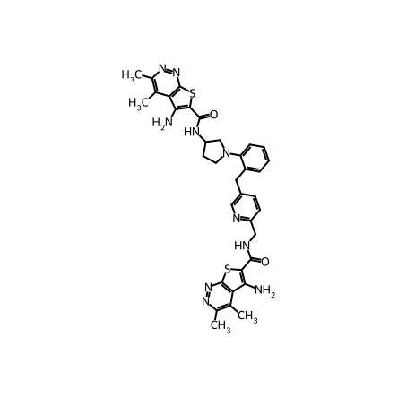 Cc1nnc2sc(C(=O)NCc3ccc(Cc4ccccc4N4CCC(NC(=O)c5sc6nnc(C)c(C)c6c5N)C4)cn3)c(N)c2c1C